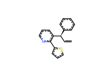 C=C[C@H](c1ccccc1)c1cccnc1-c1cccs1